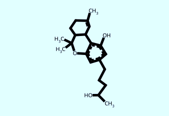 CC1=CC2c3c(O)cc(CCCC(C)O)cc3OC(C)(C)C2CC1